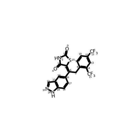 O=C1NC(=O)C(=C(Cc2ccc(C(F)(F)F)cc2C(F)(F)F)c2ccc3[nH]ncc3c2)S1